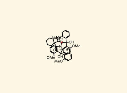 COc1ccccc1C(O)(c1ccccc1OC)[C@@H](C(C)C)N(C(=O)C1(C(N)=O)CCCCC1)[C@H](C(C)C)C(O)(c1ccccc1OC)c1ccccc1OC